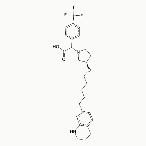 O=C(O)C(c1ccc(C(F)(F)F)cc1)N1CC[C@@H](OCCCCCc2ccc3c(n2)NCCC3)C1